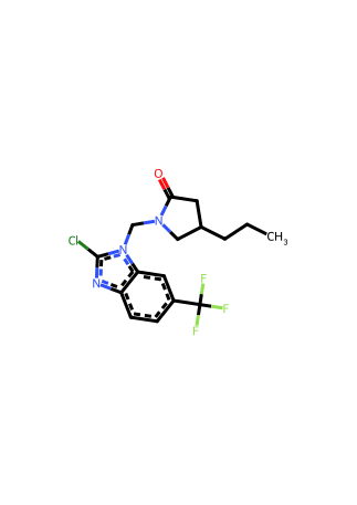 CCCC1CC(=O)N(Cn2c(Cl)nc3ccc(C(F)(F)F)cc32)C1